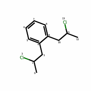 CC(Cl)Cc1ccccc1CC(C)Cl